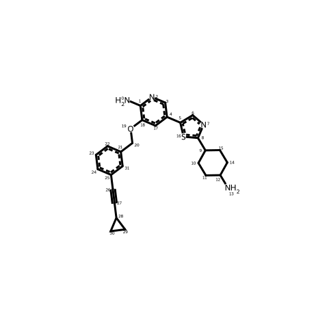 Nc1ncc(-c2cnc(C3CCC(N)CC3)s2)cc1OCc1cccc(C#CC2CC2)c1